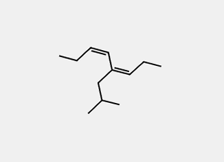 CC/C=C\C(=C/CC)CC(C)C